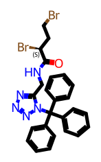 O=C(NCc1nnnn1C(c1ccccc1)(c1ccccc1)c1ccccc1)[C@@H](Br)CCBr